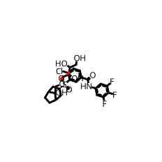 O=C(Nc1cc(F)c(F)c(F)c1)c1ccc(Cl)c(S(=O)(=O)[C@H]2CC3CCC(C2)[C@]3(O)COC[C@H](O)C(O)CO)c1